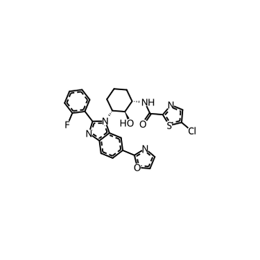 O=C(N[C@H]1CCC[C@@H](n2c(-c3ccccc3F)nc3ccc(-c4ncco4)cc32)[C@@H]1O)c1ncc(Cl)s1